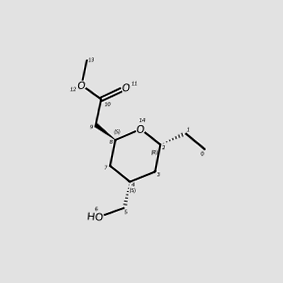 CC[C@@H]1C[C@H](CO)C[C@@H](CC(=O)OC)O1